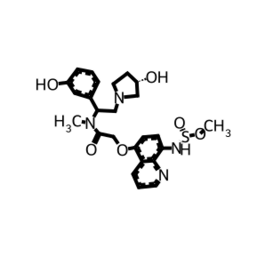 CO[SH](=O)=Nc1ccc(OCC(=O)N(C)C(CN2CC[C@H](O)C2)c2cccc(O)c2)c2cccnc12